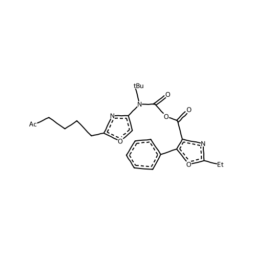 CCc1nc(C(=O)OC(=O)N(c2coc(CCCCC(C)=O)n2)C(C)(C)C)c(-c2ccccc2)o1